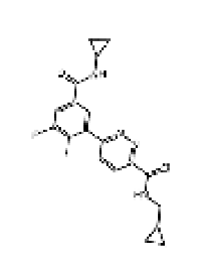 Cc1c(F)cc(C(=O)NC2CC2)cc1-c1ccc(C(=O)NCC2CC2)nn1